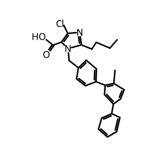 CCCCc1nc(Cl)c(C(=O)O)n1Cc1ccc(-c2cc(-c3ccccc3)ccc2C)cc1